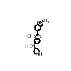 CN(c1ccc2nc(-c3ccc4nn(C)cc4c3)sc2c1)C1CCNCC1.Cl